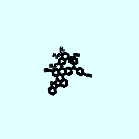 Cc1cc2c(cc1N1c3cc(N(c4ccc(C(C)(C)C)cc4)c4ccc(C(C)(C)C)cc4)ccc3B3c4c1cc(C(C)(C)C)cc4-n1c4oc5ccccc5c4c4cccc3c41)C(C)(C)CCC2(C)C